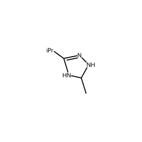 CC1NN=C(C(C)C)N1